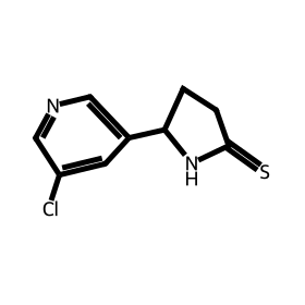 S=C1CCC(c2cncc(Cl)c2)N1